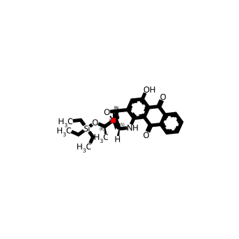 CC[Si](CC)(CC)O[C@H](C)[C@@]12O[C@@]13CC=C=CC#C[C@@H]2Nc1c3cc(O)c2c1C(=O)c1ccccc1C2=O